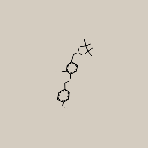 COc1ccc(COc2ccc(CB3OC(C)(C)C(C)(C)O3)cc2OC)cc1